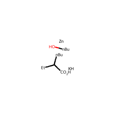 CCCCC(CC)C(=O)O.CCCCO.[KH].[Zn]